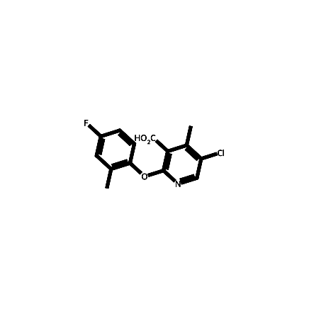 Cc1cc(F)ccc1Oc1ncc(Cl)c(C)c1C(=O)O